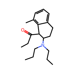 CCCN(CCC)C1CCc2cccc(C)c2C1C(=O)CC